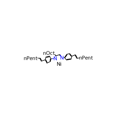 CCCCCC=Cc1ccc(N=CC(CCCCCCCC)=Nc2ccc(C=CCCCCC)cc2)cc1.[Ni]